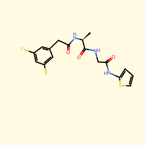 C[C@H](NC(=O)Cc1cc(F)cc(F)c1)C(=O)NCC(=O)Nc1cccs1